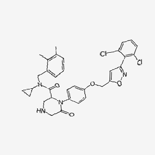 Cc1cccc(CN(C(=O)C2CNCC(=O)N2c2ccc(OCc3cc(-c4c(Cl)cccc4Cl)no3)cc2)C2CC2)c1C